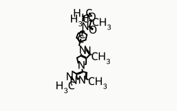 COC(C)(C)C(=O)NC12CCC(Cn3nc(C)c4c3CCN(c3cc(C)nc5c3cnn5C)C4)(CC1)CC2